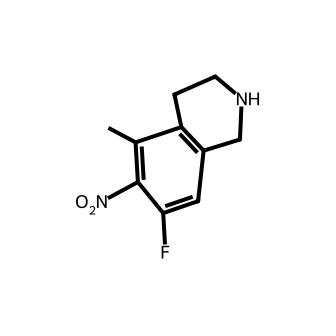 Cc1c2c(cc(F)c1[N+](=O)[O-])CNCC2